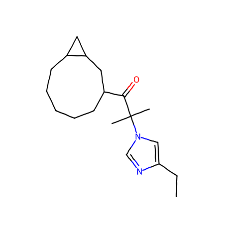 CCc1cn(C(C)(C)C(=O)C2CCCCCC3CC3C2)cn1